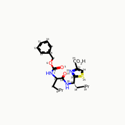 CC(C)CC(NC(=O)OCc1ccccc1)C(=O)N[C@@H](CC(C)C)c1nc(C(=O)O)cs1